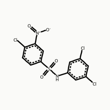 O=[N+]([O-])c1cc(S(=O)(=O)Nc2cc(Cl)cc(Cl)c2)ccc1Cl